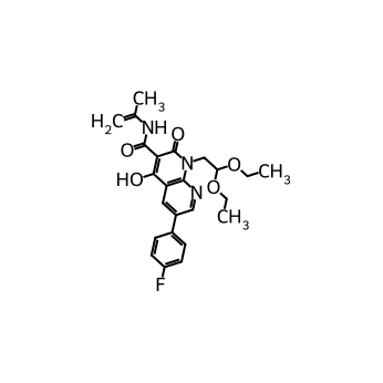 C=C(C)NC(=O)c1c(O)c2cc(-c3ccc(F)cc3)cnc2n(CC(OCC)OCC)c1=O